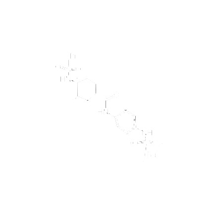 CC(C)S(=O)(=O)N[C@H]1CC[C@H](C(=O)Nc2ccc(NS(=O)(=O)C(C)(C)C)cc2)CC1